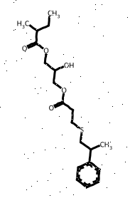 CCC(C)C(=O)OCC(O)COC(=O)CCSCC(C)c1ccccc1